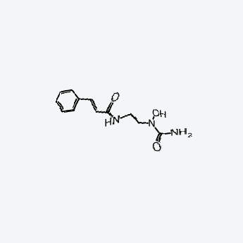 NC(=O)N(O)CCNC(=O)C=Cc1ccccc1